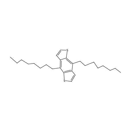 CCCCCCCCc1c2ccsc2c(CCCCCCCC)c2ccsc12